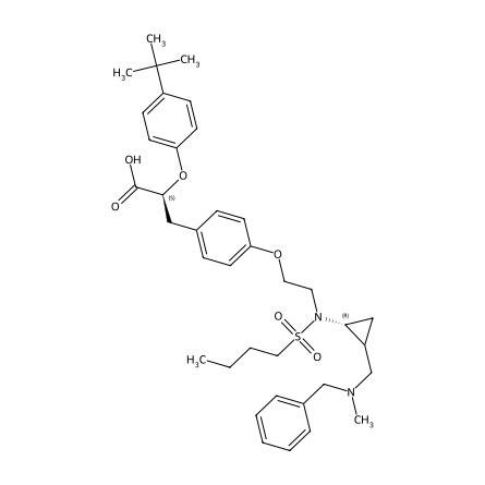 CCCCS(=O)(=O)N(CCOc1ccc(C[C@H](Oc2ccc(C(C)(C)C)cc2)C(=O)O)cc1)[C@@H]1CC1CN(C)Cc1ccccc1